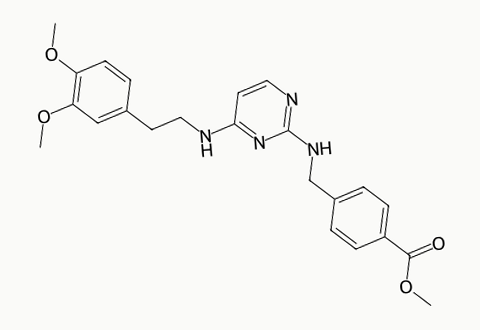 COC(=O)c1ccc(CNc2nccc(NCCc3ccc(OC)c(OC)c3)n2)cc1